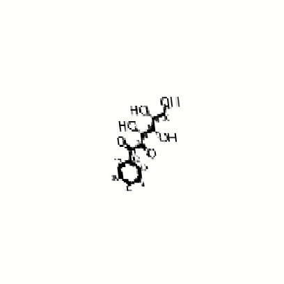 O=C(C(=O)[C@H](O)[C@H](O)[C@H](O)CO)c1ccccc1